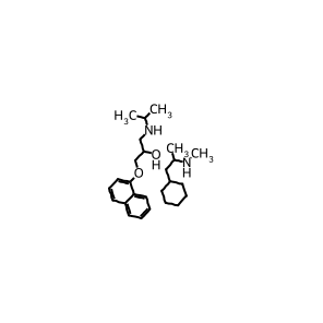 CC(C)NCC(O)COc1cccc2ccccc12.CNC(C)CC1CCCCC1